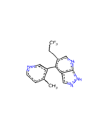 Cc1ccncc1-c1c(CC(F)(F)F)cnc2[nH]ncc12